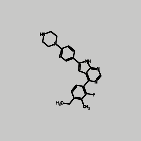 CCc1ccc(-c2ncnc3[nH]c(-c4ccc(N5CCNCC5)nc4)cc23)c(F)c1C